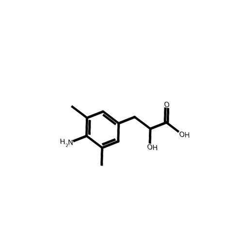 Cc1cc(CC(O)C(=O)O)cc(C)c1N